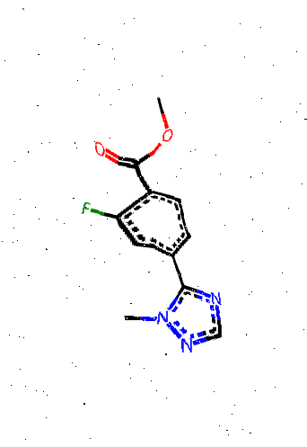 COC(=O)c1ccc(-c2ncnn2C)cc1F